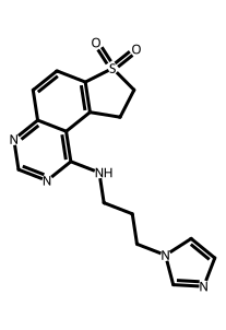 O=S1(=O)CCc2c1ccc1ncnc(NCCCn3ccnc3)c21